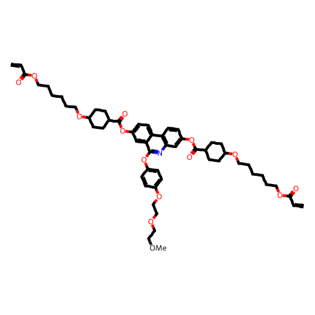 C=CC(=O)OCCCCCCOC1CCC(C(=O)Oc2ccc3c(c2)nc(Oc2ccc(OCCOCCOC)cc2)c2cc(OC(=O)C4CCC(OCCCCCCOC(=O)C=C)CC4)ccc23)CC1